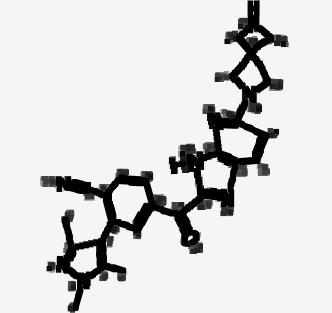 Cc1nn(C)c(C)c1-c1cc(C(=O)c2nc3ccc(N4CC5(CNC5)C4)nc3[nH]2)ccc1C#N